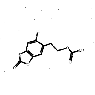 O=C(O)OCCc1cc2oc(=O)sc2cc1Cl